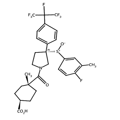 Cc1cc([S+]([O-])[C@@]2(c3ccc(C(F)(C(F)(F)F)C(F)(F)F)cc3)CCN(C(=O)[C@]3(C)CC[C@@H](C(=O)O)CC3)C2)ccc1F